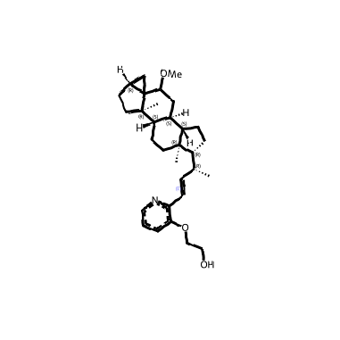 COC1C[C@H]2[C@@H]3CC[C@H]([C@H](C)/C=C/c4ncccc4OCCO)[C@@]3(C)CC[C@@H]2[C@@]2(C)CC[C@@H]3CC132